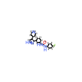 O=C(Nc1ccc(F)cc1)Nc1cccc(-c2n[nH]cc2-c2ccncc2)c1